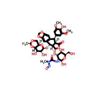 CN(N=O)C(=O)N[C@@H]1[C@@H](O)[C@H](O)[C@@H](CO)O[C@@H]1O.COc1cc([C@@H]2c3cc4c(cc3[C@@H](O[C@@H]3O[C@@H]5CO[C@@H](C)O[C@H]5[C@H](O)[C@H]3O)[C@H]3COC(=O)[C@H]23)OCO4)cc(OC)c1O